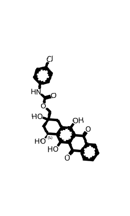 O=C(Nc1ccc(Cl)cc1)OCC1(O)Cc2c(O)c3c(c(O)c2[C@@H](O)C1)C(=O)c1ccccc1C3=O